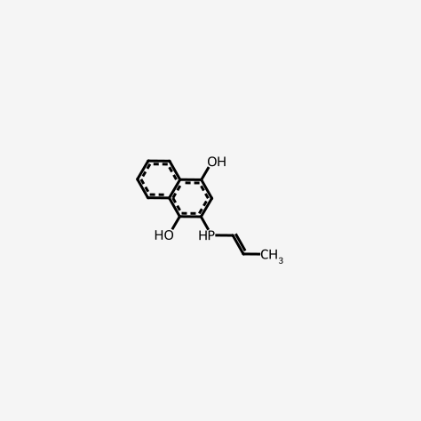 CC=CPc1cc(O)c2ccccc2c1O